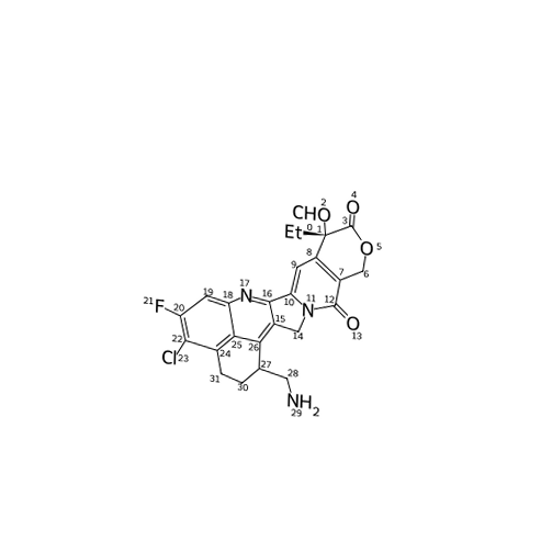 CC[C@@]1(C=O)C(=O)OCc2c1cc1n(c2=O)Cc2c-1nc1cc(F)c(Cl)c3c1c2C(CN)CC3